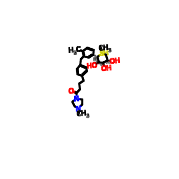 Cc1ccc([C@H]2[C@H](O)[C@H](O)[C@H](O)C[SH]2C)cc1Cc1ccc(CCCC(=O)N2CCN(C)CC2)cc1